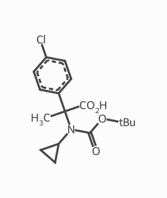 CC(C)(C)OC(=O)N(C1CC1)C(C)(C(=O)O)c1ccc(Cl)cc1